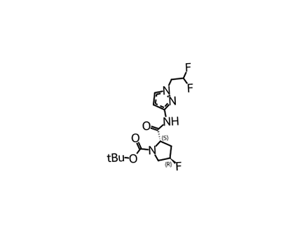 CC(C)(C)OC(=O)N1C[C@H](F)C[C@H]1C(=O)Nc1ccn(CC(F)F)n1